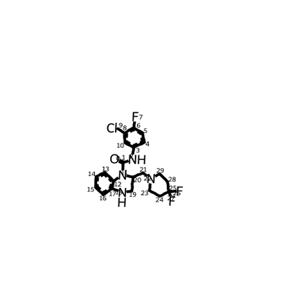 O=C(Nc1ccc(F)c(Cl)c1)N1c2ccccc2NCC1CN1CCC(F)(F)CC1